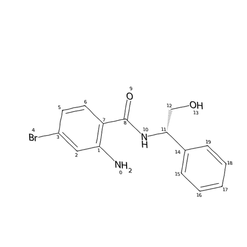 Nc1cc(Br)ccc1C(=O)N[C@H](CO)c1ccccc1